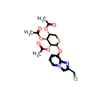 CC(=O)O[C@@H]1[C@@H](OC(C)=O)[C@H](OC(C)=O)CS[C@H]1Oc1cccn2cc(CCl)nc12